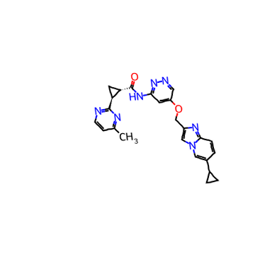 Cc1ccnc([C@H]2C[C@@H]2C(=O)Nc2cc(OCc3cn4cc(C5CC5)ccc4n3)cnn2)n1